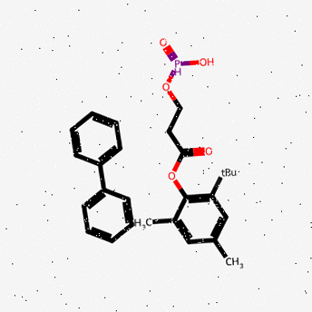 Cc1cc(C)c(OC(=O)CCO[PH](=O)O)c(C(C)(C)C)c1.c1ccc(-c2ccccc2)cc1